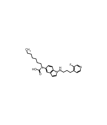 CCCCCCCN(C(=O)O)c1ccc2c(ccn2NCCCc2ccncc2F)c1